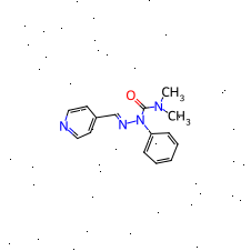 CN(C)C(=O)N(N=Cc1ccncc1)c1ccccc1